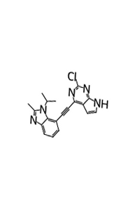 Cc1nc2cccc(C#Cc3nc(Cl)nc4[nH]ccc34)c2n1C(C)C